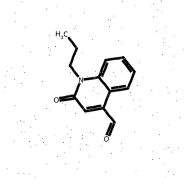 CCCn1c(=O)cc(C=O)c2ccccc21